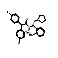 CN(C(=O)C(c1ccc(F)cc1)c1ccc(F)cc1)[C@H](CN1CCCC1)c1ccccc1O